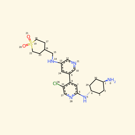 N[C@H]1CC[C@H](Nc2cc(-c3cncc(NCC4CCS(=O)(=O)CC4)c3)c(Cl)cn2)CC1